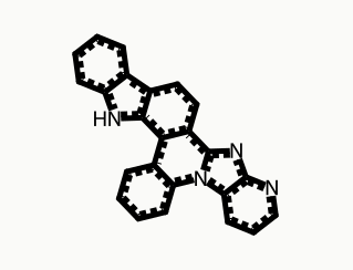 c1ccc2c(c1)[nH]c1c2ccc2c1c1ccccc1n1c3cccnc3nc21